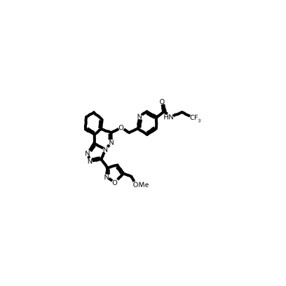 COCc1cc(-c2nnc3c4c(c(OCc5ccc(C(=O)NCC(F)(F)F)cn5)nn23)=CCCC=4)no1